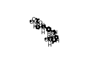 COC(=O)N[C@H](C(=O)N1[C@@H](C)CC[C@H]1c1ncc(-c2ccc(-c3cnc([C@@H]4CC[C@@H]5CC(C)[C@H](NC(=O)OC)C(=O)N54)[nH]3)cc2)[nH]1)C(C)C